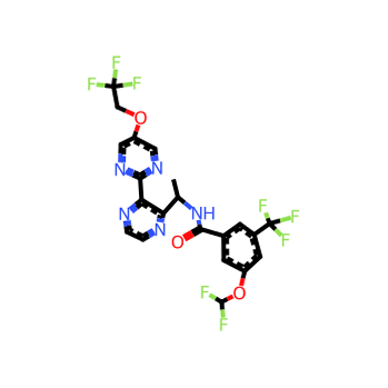 CC(NC(=O)c1cc(OC(F)F)cc(C(F)(F)F)c1)c1nccnc1-c1ncc(OCC(F)(F)F)cn1